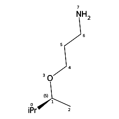 CC(C)[C@H](C)OCCCN